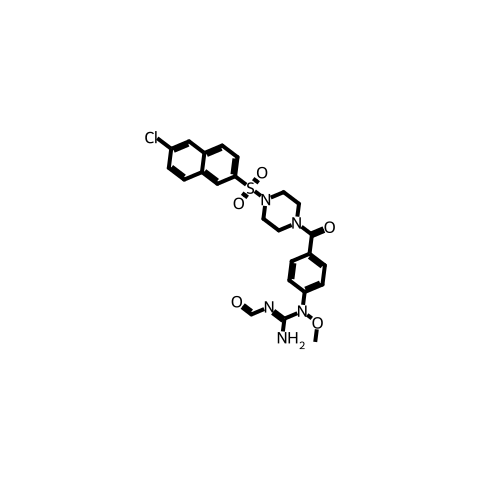 CON(C(N)=NC=O)c1ccc(C(=O)N2CCN(S(=O)(=O)c3ccc4cc(Cl)ccc4c3)CC2)cc1